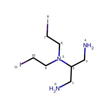 NCC(CN)N(CCI)CCI